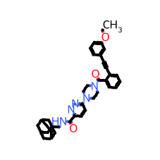 CCOc1cccc(C#Cc2ccccc2C(=O)N2CCN(c3ccc(C(=O)NCC45CC6CC(CC(C6)C4)C5)nn3)CC2)c1